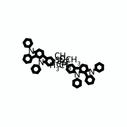 C[Si](C)(O[Si](C)(C)c1ccc2c(c1)c1ccc3c(c4ccccc4n3-c3ccccc3)c1n2-c1ccccc1)c1ccc2c(c1)c1ccc3c(c4ccccc4n3-c3ccccc3)c1n2-c1ccccc1